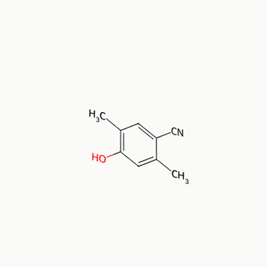 Cc1cc(C#N)c(C)cc1O